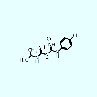 CC(C)NC(=N)NC(=N)Nc1ccc(Cl)cc1.[Cu]